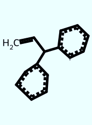 C=CC(c1[c]cccc1)c1ccccc1